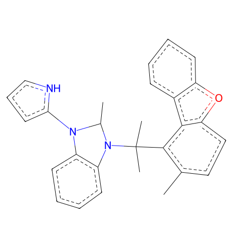 Cc1ccc2oc3ccccc3c2c1C(C)(C)N1c2ccccc2N(c2ccc[nH]2)C1C